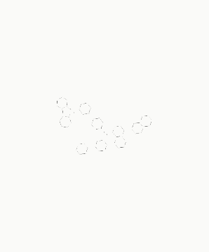 c1ccc(-c2cccc(N(c3ccc(-c4cccc(-n5c6ccccc6c6ccccc65)c4)cc3)c3ccc(-c4ccc5ccccc5c4)c4ccccc34)c2)cc1